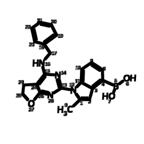 Cc1cc2c(B(O)O)cccc2n1-c1nc(NCc2ccccc2)c2c(n1)OCC2